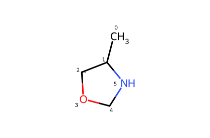 CC1[CH]OCN1